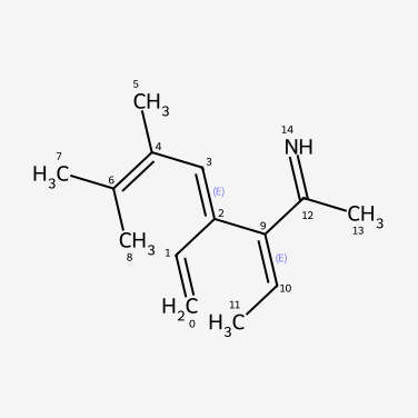 C=CC(=C\C(C)=C(C)C)/C(=C\C)C(C)=N